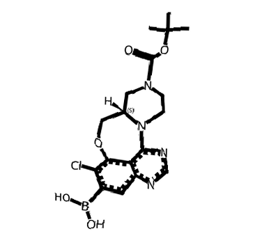 CC(C)(C)OC(=O)N1CCN2c3ncnc4cc(B(O)O)c(Cl)c(c34)OC[C@@H]2C1